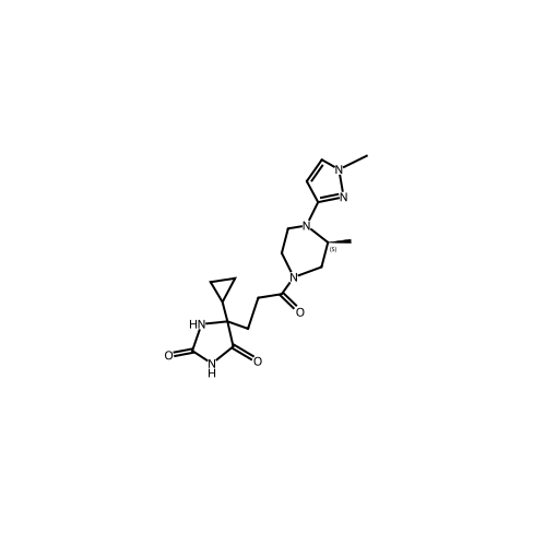 C[C@H]1CN(C(=O)CCC2(C3CC3)NC(=O)NC2=O)CCN1c1ccn(C)n1